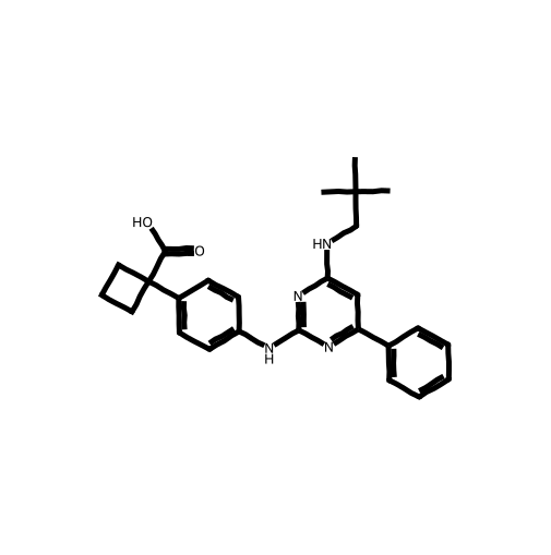 CC(C)(C)CNc1cc(-c2ccccc2)nc(Nc2ccc(C3(C(=O)O)CCC3)cc2)n1